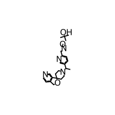 CC(c1ccc(C=NOCC(C)(C)O)nc1)N1CCC2(CC1)OCc1ccncc12